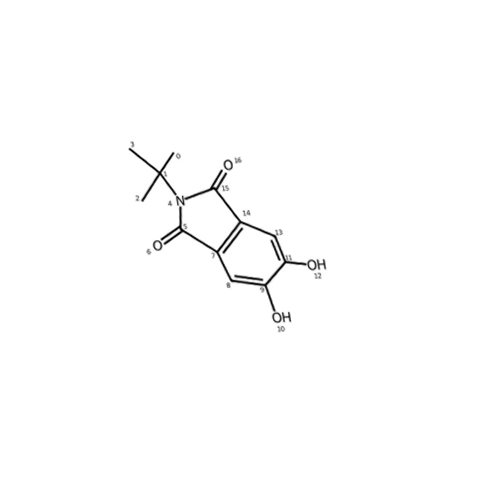 CC(C)(C)N1C(=O)c2cc(O)c(O)cc2C1=O